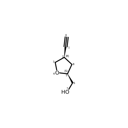 C#C[C@@H]1CO[C@H](CO)C1